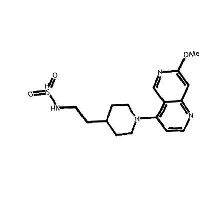 COc1cc2nccc(N3CCC(CCN[SH](=O)=O)CC3)c2cn1